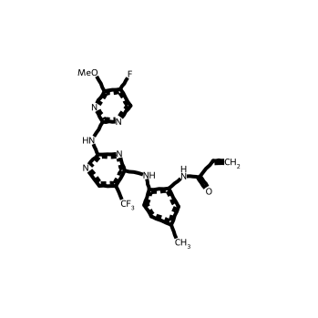 C=CC(=O)Nc1cc(C)ccc1Nc1nc(Nc2ncc(F)c(OC)n2)ncc1C(F)(F)F